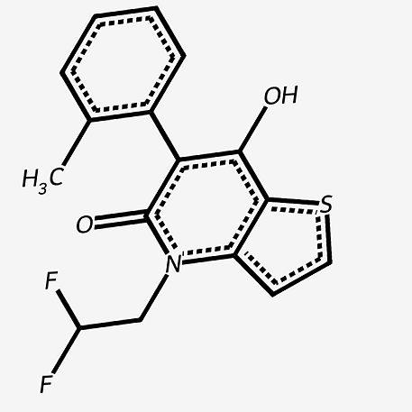 Cc1ccccc1-c1c(O)c2sccc2n(CC(F)F)c1=O